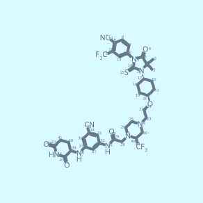 CC1(C)C(=O)N(c2ccc(C#N)c(C(F)(F)F)c2)C(=S)N1[C@H]1CC[C@H](OCCN2CCN(CC(=O)Nc3cc(C#N)cc(NC4CCC(=O)NC4=O)c3)C(C(F)(F)F)C2)CC1